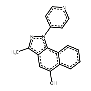 Cc1nn(-c2ccncc2)c2c1cc(O)c1ccccc12